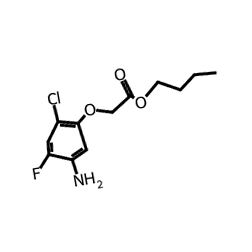 CCCCOC(=O)COc1cc(N)c(F)cc1Cl